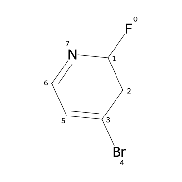 FC1CC(Br)=CC=N1